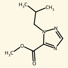 COC(=O)c1ncnn1CC(C)C